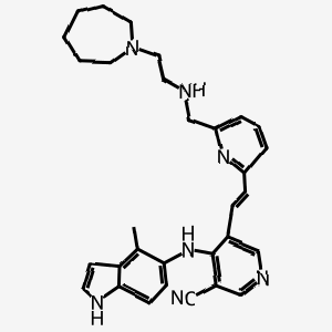 Cc1c(Nc2c(C#N)cncc2C=Cc2cccc(CNCCN3CCCCCC3)n2)ccc2[nH]ccc12